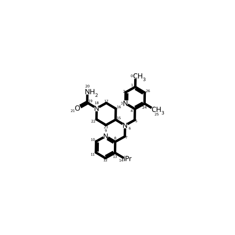 Cc1cnc(CN(Cc2ncccc2C(C)C)C2CCN(C(N)=O)CC2)c(C)c1